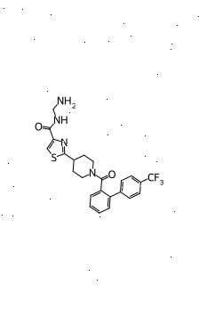 NCNC(=O)c1csc(C2CCN(C(=O)c3ccccc3-c3ccc(C(F)(F)F)cc3)CC2)n1